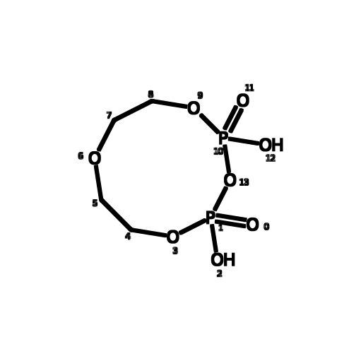 O=P1(O)OCCOCCOP(=O)(O)O1